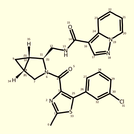 Cc1nc(C(=O)N2C[C@@H]3C[C@@H]3[C@H]2CNC(=O)c2cnn3ccccc23)c(-c2cccc(Cl)c2)s1